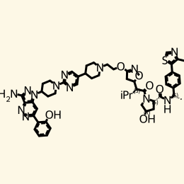 Cc1ncsc1-c1ccc([C@H](C)NC(=O)[C@@H]2C[C@@H](O)CN2C(=O)[C@@H](C(C)C)C2CC(OCCN3CCC(c4cnc(N5CCC(n6nc(N)c7nnc(-c8ccccc8O)cc76)CC5)nc4)CC3)=NO2)cc1